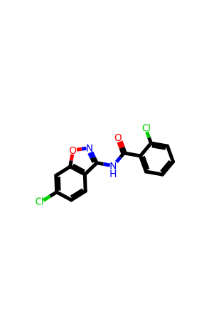 O=C(Nc1noc2cc(Cl)ccc12)c1ccccc1Cl